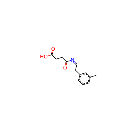 Cc1cccc(C/C=N\C(=O)CCC(=O)O)c1